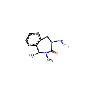 CNC1Cc2ccccc2C(C)N(C)C1=O